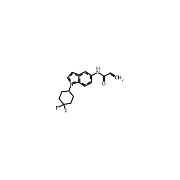 C=CC(=O)Nc1ccc2c(ccn2C2CCC(F)(F)CC2)c1